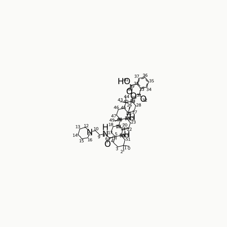 CC1(C)CC[C@]2(C(=O)NCCN3CCCCC3)CC[C@]3(C)C(=CC[C@@H]4[C@@]5(C)CC[C@H](OC(=O)c6ccccc6C(=O)O)C(C)(C)C5CC[C@]43C)[C@@H]2C1